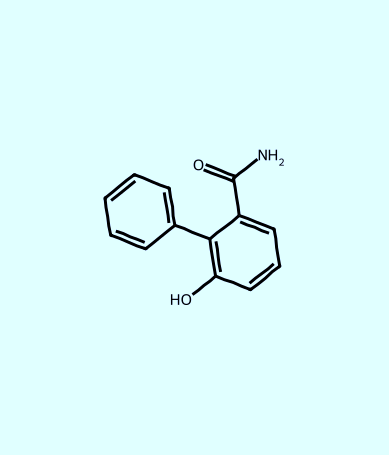 NC(=O)c1cccc(O)c1-c1ccccc1